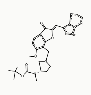 COc1ccc2c(c1CN1CC[C@H](N(C)C(=O)OC(C)(C)C)C1)O/C(=C\c1n[nH]c3ncccc13)C2=O